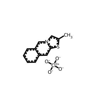 Cc1c[n+]2cc3ccccc3cc2s1.[O-][Cl+3]([O-])([O-])[O-]